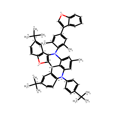 Cc1cc2c3c(c1)N(c1c(C)cc(-c4coc5ccccc45)cc1C)c1c(oc4ccc(C(C)(C)C)cc14)B3c1cc(C(C)(C)C)ccc1N2c1ccc(C(C)(C)C)cc1